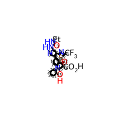 CCNC(=O)Nc1cc(-c2nc(C(F)(F)F)cs2)c(-c2ccc3c(c2)c(=O)c(C(=O)O)cn3[C@@H]2CCCC[C@H]2O)cn1